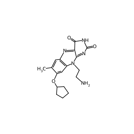 Cc1cc2nc3c(=O)[nH]c(=O)nc-3n(CCN)c2cc1OC1CCCC1